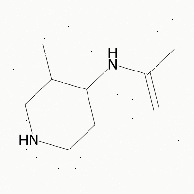 C=C(C)NC1CCNCC1C